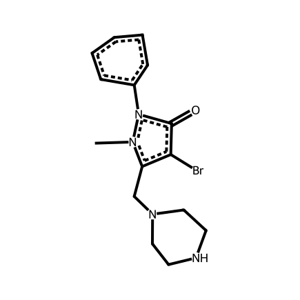 Cn1c(CN2CCNCC2)c(Br)c(=O)n1-c1ccccc1